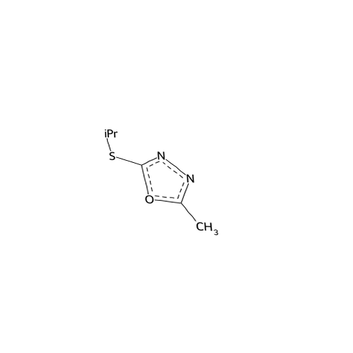 Cc1nnc(SC(C)C)o1